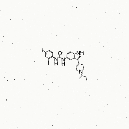 CCC(C)N1CC=C(c2c[nH]c3ccc(NC(=O)Nc4ccc(I)cc4I)cc23)CC1